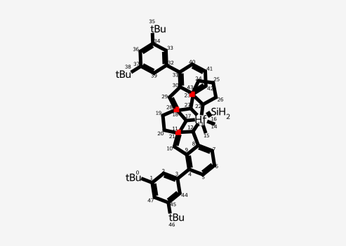 CC(C)(C)c1cc(-c2cccc3c2C=C[CH]3[Hf]([CH3])([CH3])(=[SiH2])([CH]2CCCC2)([CH]2CCCC2)[CH]2C=Cc3c(-c4cc(C(C)(C)C)cc(C(C)(C)C)c4)cccc32)cc(C(C)(C)C)c1